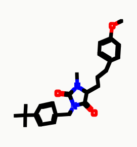 COc1ccc(CCCC2C(=O)N(Cc3ccc(C(C)(C)C)cc3)C(=O)N2C)cc1